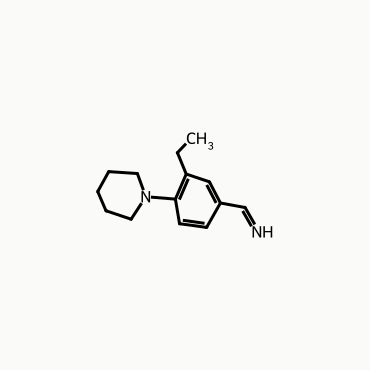 CCc1cc(C=N)ccc1N1CCCCC1